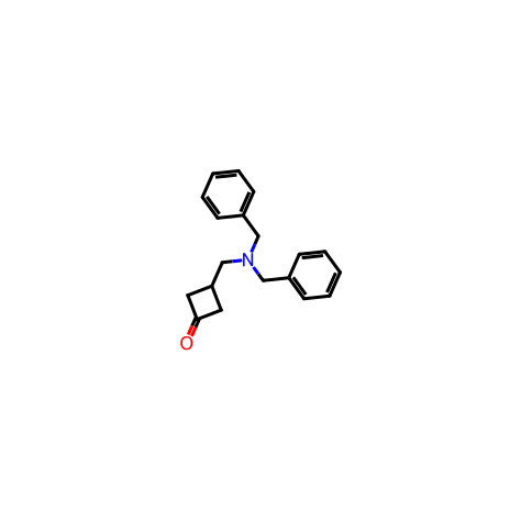 O=C1CC(CN(Cc2ccccc2)Cc2ccccc2)C1